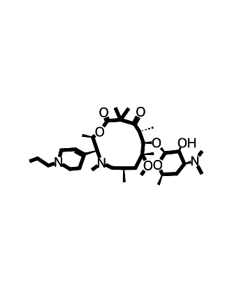 CCCN1CC=C([C@H]2[C@@H](C)OC(=O)C(C)(C)C(=O)[C@H](C)[C@@H](O[C@@H]3O[C@H](C)C[C@H](N(C)C)[C@H]3O)[C@](C)(OC)C[C@@H](C)CN2C)CC1